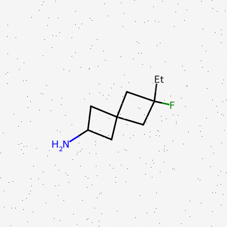 CCC1(F)CC2(CC(N)C2)C1